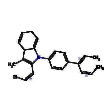 C/C=C\C(=C/C)c1ccc(N2C3=CCC=CC3C(C)=C2/C=C\CC)cc1